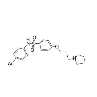 CC(=O)c1ccc(NS(=O)(=O)c2ccc(OCCCN3CCCC3)cc2)nc1